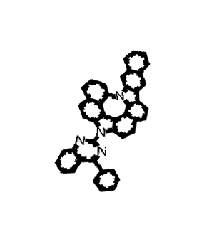 c1ccc(-c2nc(-n3c4ccc5cccc6c5c4c4c5c(ccc7c8cc9ccccc9cc8n6c75)ccc43)nc3ccccc23)cc1